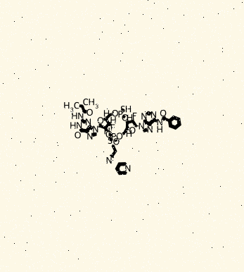 CC(C)C(=O)Nc1nc2c(ncn2[C@@H]2O[C@@H]3COP(S)O[C@H]4[C@H](F)[C@H](n5cnc6c(NC(=O)c7ccccc7)ncnc65)O[C@@H]4COP(=S)(OCCC#N)O[C@@H]2[C@@H]3F)c(=O)[nH]1.c1ccncc1